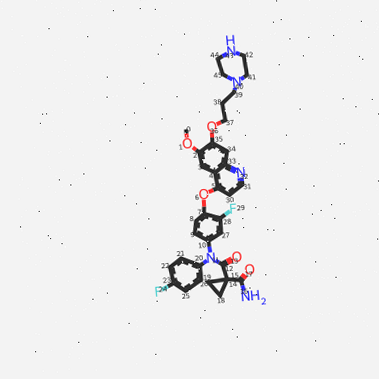 COc1cc2c(Oc3ccc(N(C(=O)C4(C(N)=O)CC4)c4ccc(F)cc4)cc3F)ccnc2cc1OCCCN1CCNCC1